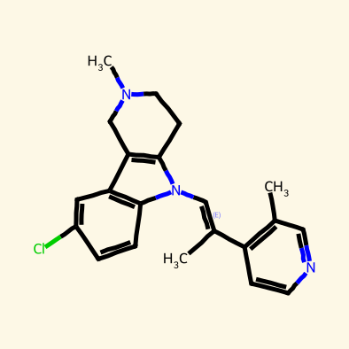 C/C(=C\n1c2c(c3cc(Cl)ccc31)CN(C)CC2)c1ccncc1C